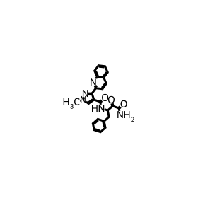 Cn1cc(C(=O)NC(Cc2ccccc2)C(=O)C(N)=O)c(-c2ccc3ccccc3n2)n1